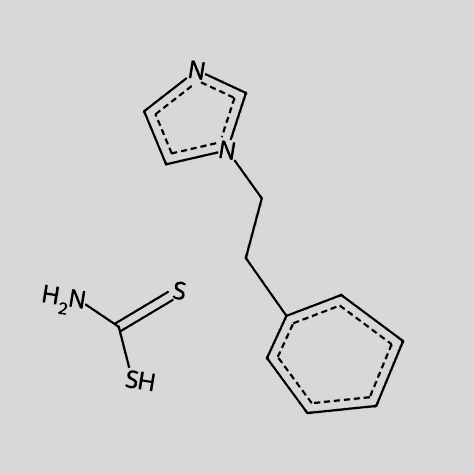 NC(=S)S.c1ccc(CCn2ccnc2)cc1